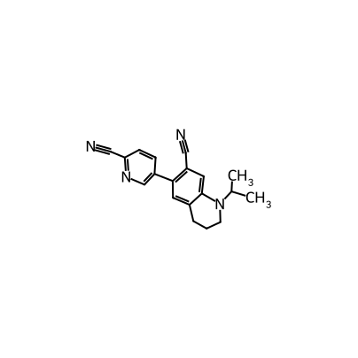 CC(C)N1CCCc2cc(-c3ccc(C#N)nc3)c(C#N)cc21